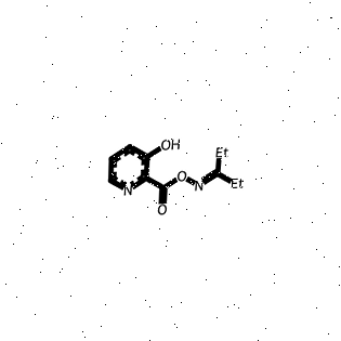 CCC(CC)=NOC(=O)c1ncccc1O